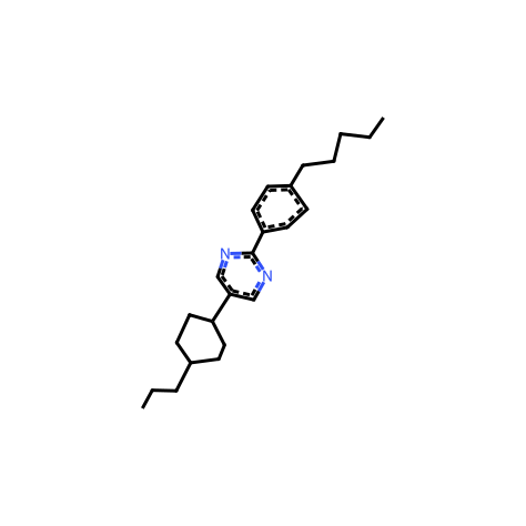 CCCCCc1ccc(-c2ncc(C3CCC(CCC)CC3)cn2)cc1